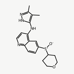 Cc1n[nH]c(Nc2ccnc3ccc([S+]([O-])C4CCOCC4)cc23)c1C